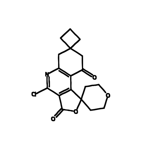 O=C1OC2(CCOCC2)c2c1c(Cl)nc1c2C(=O)CC2(CCC2)C1